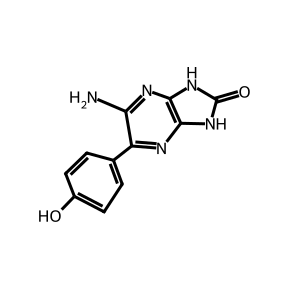 Nc1nc2[nH]c(=O)[nH]c2nc1-c1ccc(O)cc1